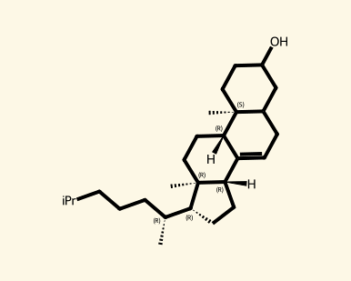 CC(C)CCC[C@@H](C)[C@H]1CC[C@H]2C3=CCC4CC(O)CC[C@]4(C)[C@H]3CC[C@]12C